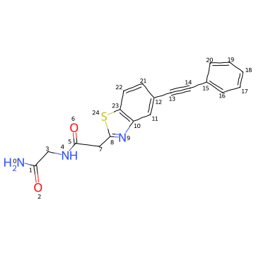 NC(=O)CNC(=O)Cc1nc2cc(C#Cc3ccccc3)ccc2s1